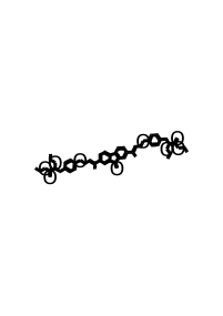 CCOC(=O)C(Cc1ccc(OC/C=C(\C)c2ccc3c(c2)C(=O)c2cc(/C(C)=C/COc4ccc(CC(OCC)C(=O)OCC)cc4)ccc2-3)cc1)OCC